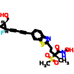 C[C@@](CCc1nc2ccc(C#CC#C[C@@]3(F)C[C@@H]3CO)cc2s1)(C(=O)NO)S(C)(=O)=O